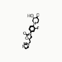 O=C1CCN(c2ccc(N3CC(Cn4ccnn4)OC3=O)cc2F)CC1O